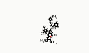 COc1ccc([C@H](Cc2c(Cl)c[n+]([O-])cc2Cl)c2cc(CNC(C(=O)OC[C@H]3CCN(C)C3)c3ccccc3)sc2C(=O)O)cc1OC